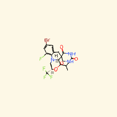 CC(C)C1O[C@H](C(F)(F)F)CN2c3c(F)cc(Br)cc3CC3(C(=O)NC(=O)NC3=O)[C@@H]12